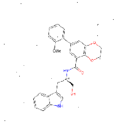 COc1ccccc1-c1cc2c(c(C(=O)N[C@@H](CO)Cc3c[nH]c4ccccc34)c1)OCCO2